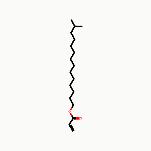 C=CC(=O)OCCCCCCCCCCCCC(C)C